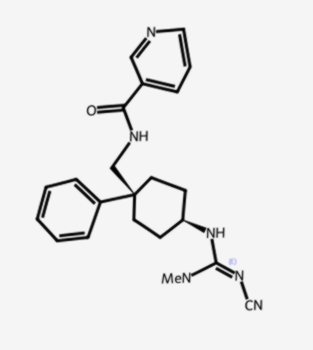 CN/C(=N\C#N)N[C@H]1CC[C@](CNC(=O)c2cccnc2)(c2ccccc2)CC1